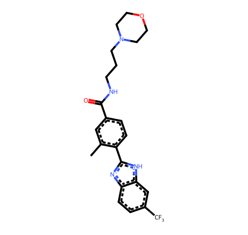 Cc1cc(C(=O)NCCCN2CCOCC2)ccc1-c1nc2ccc(C(F)(F)F)cc2[nH]1